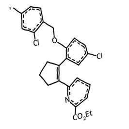 CCOC(=O)c1cccc(C2=C(c3cc(Cl)ccc3OCc3ccc(F)cc3Cl)CCC2)n1